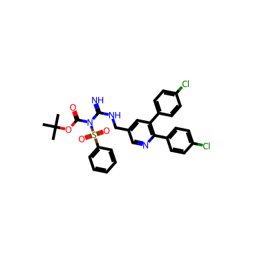 CC(C)(C)OC(=O)N(C(=N)NCc1cnc(-c2ccc(Cl)cc2)c(-c2ccc(Cl)cc2)c1)S(=O)(=O)c1ccccc1